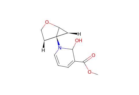 COC(=O)C1=CC=CN([C@]23C4OC[C@@H]2[C@H]43)C1O